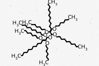 CCCCCCCCCCOC(OC(OCCCCCCCCCC)C(OCCCCCCC)=C(CCCCCCCCCC)OCCCCCCC)C(OCCCCCCC)=C(CCCCCCCCCC)OCCCCCCC